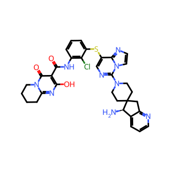 N[C@@H]1c2cccnc2CC12CCN(c1ncc(Sc3cccc(NC(=O)c4c(O)nc5n(c4=O)CCCC5)c3Cl)c3nccn13)CC2